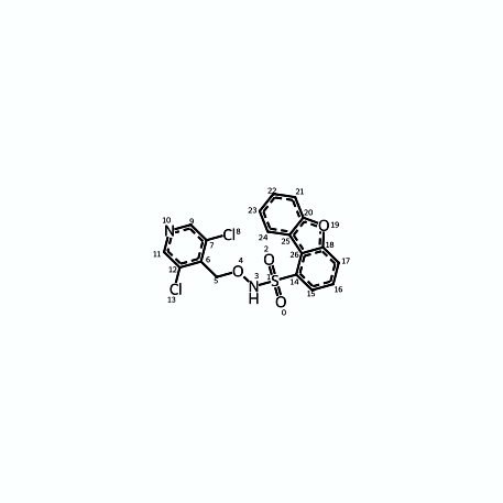 O=S(=O)(NOCc1c(Cl)cncc1Cl)c1cccc2oc3ccccc3c12